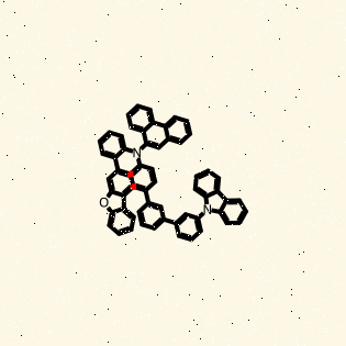 c1cc(-c2ccc(N(c3ccccc3-c3ccc4c(c3)oc3ccccc34)c3cc4ccccc4c4ccccc34)cc2)cc(-c2cccc(-n3c4ccccc4c4ccccc43)c2)c1